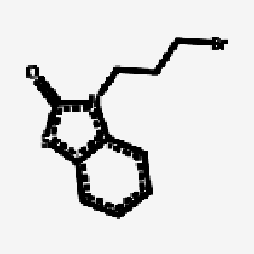 O=c1sc2ccccc2n1CCCBr